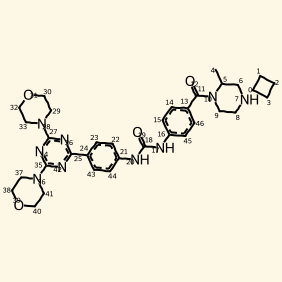 C1CCC1.CC1CNCCN1C(=O)c1ccc(NC(=O)Nc2ccc(-c3nc(N4CCOCC4)nc(N4CCOCC4)n3)cc2)cc1